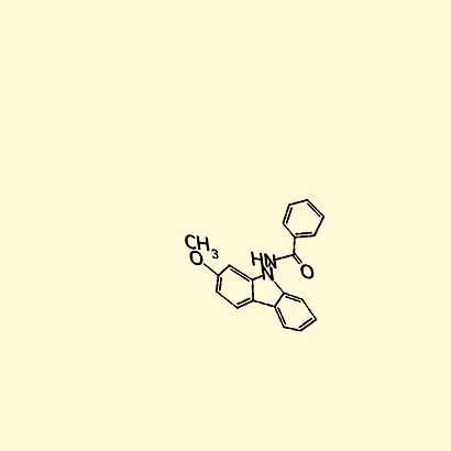 COc1ccc2c3ccccc3n(NC(=O)c3ccccc3)c2c1